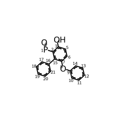 O=Pc1c(O)ccc(Oc2ccccc2)c1-c1ccccc1